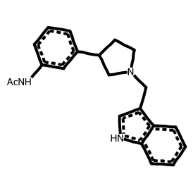 CC(=O)Nc1cccc(C2CCN(Cc3c[nH]c4ccccc34)C2)c1